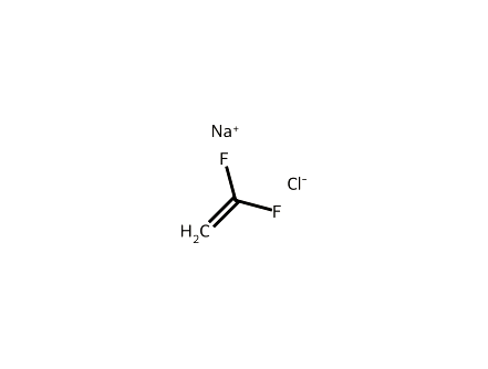 C=C(F)F.[Cl-].[Na+]